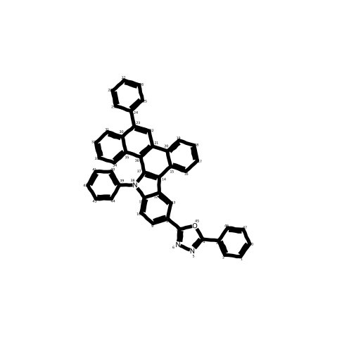 c1ccc(-c2nnc(-c3ccc4c(c3)c3c5ccccc5c5cc(-c6ccccc6)c6ccccc6c5c3n4-c3ccccc3)o2)cc1